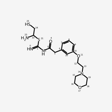 N=C(NC(=O)Cc1cccc(OCCN2CCOCC2)c1)SC(N)CS